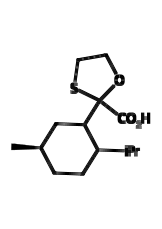 CC(C)C1CC[C@@H](C)CC1C1(C(=O)O)OCCS1